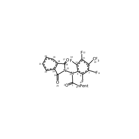 CCCCCC(=O)N(c1c(F)c(F)c(C(F)(F)F)c(F)c1F)N1C(=O)c2ccccc2C1=O